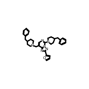 c1ccc(CC2CCN(Cc3cnc(N4CCC(Cc5ccccc5)CC4)n4nc(-c5ccco5)nc34)CC2)cc1